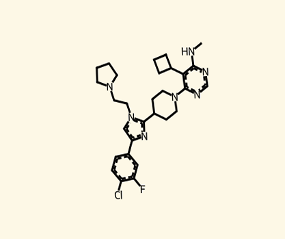 CNc1ncnc(N2CCC(c3nc(-c4ccc(Cl)c(F)c4)cn3CCN3CCCC3)CC2)c1C1CCC1